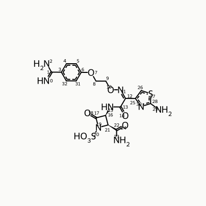 N=C(N)c1ccc(OCCO/N=C(\C(=O)N[C@@H]2C(=O)N(S(=O)(=O)O)[C@@H]2C(N)=O)c2csc(N)n2)cc1